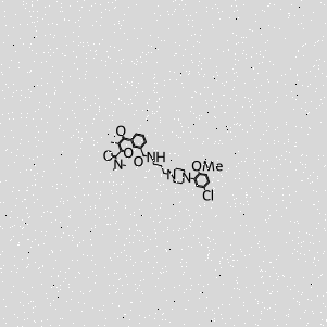 COc1ccc(Cl)cc1N1CCN(CCCNC(=O)c2cccc3c(=O)c(C)c(C(=O)N(C)C)oc23)CC1